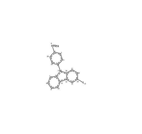 CCCCCCc1ccc(-n2c3ccccc3c3cc(I)ccc32)cc1